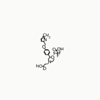 Cn1ccc(COc2ccc(C3CN(CCC(=O)O)CCO3)cc2)n1.O=C(O)C(F)(F)F